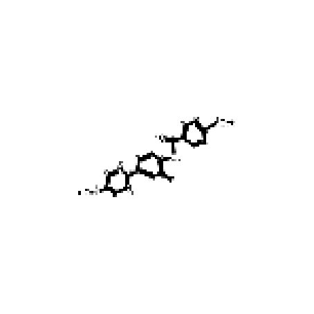 CCCCCCCCc1ccc(C(=O)Oc2ccc(-c3ncc(CCCCCCCC)cn3)cc2F)cc1